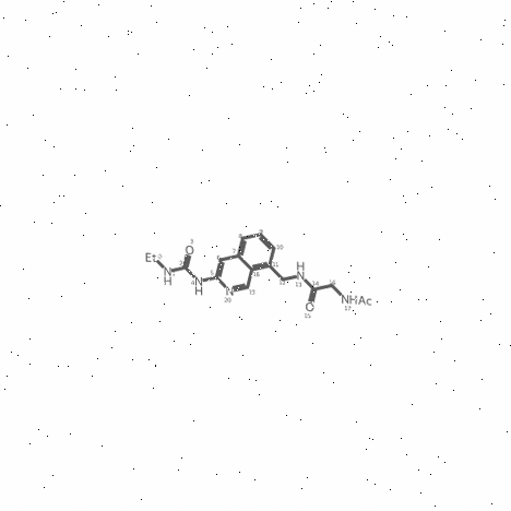 CCNC(=O)Nc1cc2cccc(CNC(=O)CNC(C)=O)c2cn1